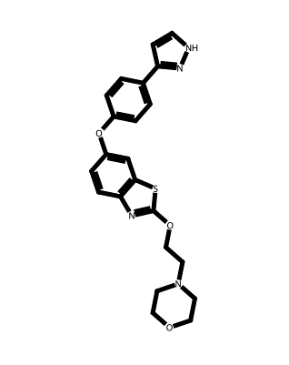 c1cc(-c2ccc(Oc3ccc4nc(OCCN5CCOCC5)sc4c3)cc2)n[nH]1